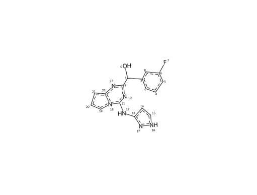 OC(c1cccc(F)c1)c1nc(Nc2cc[nH]n2)n2cccc2n1